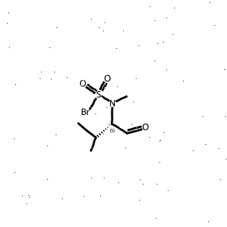 CC(C)[C@@H](C=O)N(C)S(=O)(=O)Br